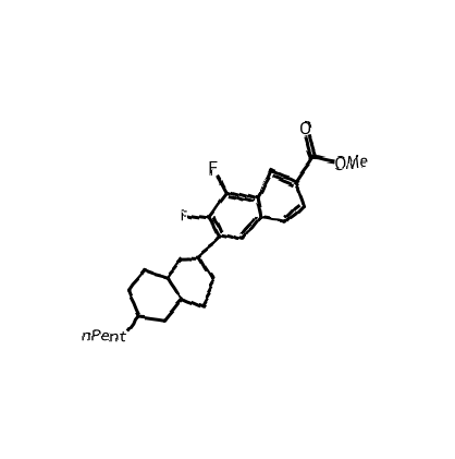 CCCCCC1CCC2CC(c3cc4ccc(C(=O)OC)cc4c(F)c3F)CCC2C1